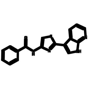 O=C(Nc1csc(-c2c[nH]c3ncccc23)n1)c1ccccc1